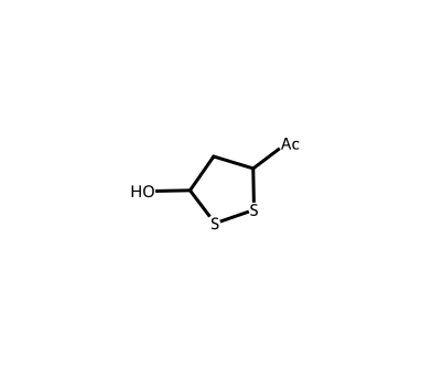 CC(=O)C1CC(O)SS1